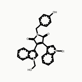 CCn1cc(C2=C(c3cn(CO)c4ccccc34)C(=O)N(Cc3ccc(O)cc3)C2=O)c2ccccc21